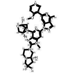 COc1ccncc1-c1cc2c(cnn2-c2cc3c(nc(N4CCN5CC(F)(F)C[C@@H]5C4)n3C)c(N3C[C@H]4C[C@@H]3CO4)n2)c(C)n1